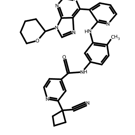 Cc1ccc(NC(=O)c2ccnc(C3(C#N)CCC3)c2)cc1Nc1ncccc1-c1ncnc2c1ncn2C1CCCCO1